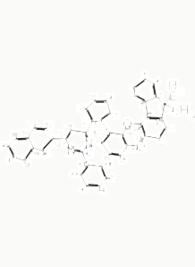 CC1(C)c2ccccc2-c2c1ccc1c2Oc2c(cccc2-c2ccccc2-c2cc(-c3ccc4ccccc4c3)nc(-c3ccccc3)n2)O1